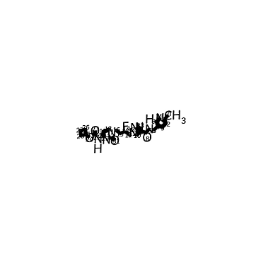 Cc1ccc(CNC(=O)c2cn(CC(F)CCn3ccc(NC(=O)OC4CCC4)nc3=O)nn2)cn1